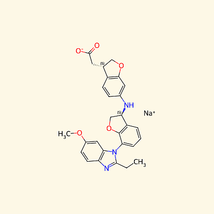 CCc1nc2ccc(OC)cc2n1-c1cccc2c1OC[C@H]2Nc1ccc2c(c1)OC[C@H]2CC(=O)[O-].[Na+]